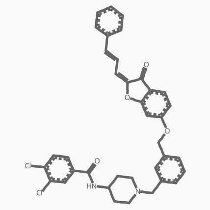 O=C(NC1CCN(Cc2cccc(COc3ccc4c(c3)OC(=CC=Cc3ccccc3)C4=O)c2)CC1)c1ccc(Cl)c(Cl)c1